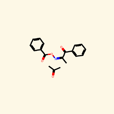 CC(=NOC(=O)c1ccccc1)C(=O)c1ccccc1.CC(C)=O